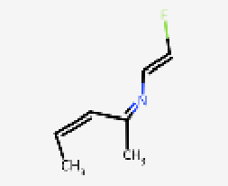 C\C=C/C(C)=N\C=C\F